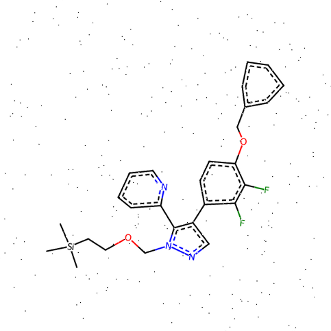 C[Si](C)(C)CCOCn1ncc(-c2ccc(OCc3ccccc3)c(F)c2F)c1-c1ccccn1